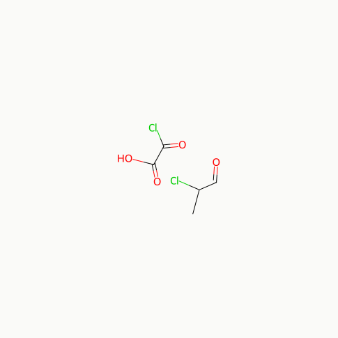 CC(Cl)C=O.O=C(O)C(=O)Cl